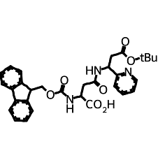 CC(C)(C)OC(=O)CC(NC(=O)CC(NC(=O)OCC1c2ccccc2-c2ccccc21)C(=O)O)c1ccccn1